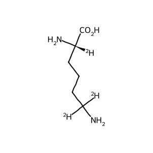 [2H]C([2H])(N)CCC[C@]([2H])(N)C(=O)O